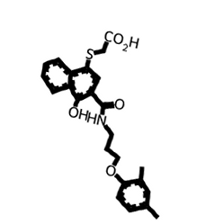 Cc1ccc(OCCCNC(=O)c2cc(SCC(=O)O)c3ccccc3c2O)c(C)c1